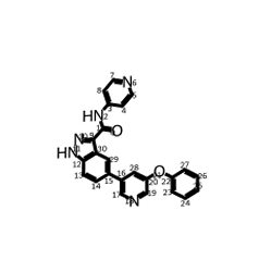 O=C(Nc1ccncc1)c1n[nH]c2ccc(-c3cncc(Oc4ccccc4)c3)cc12